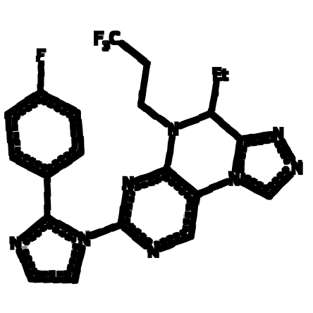 CCC1c2nncn2-c2cnc(-n3ccnc3-c3ccc(F)cc3)nc2N1CCC(F)(F)F